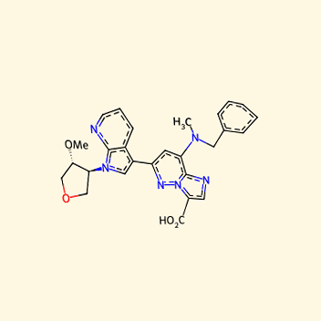 CO[C@H]1COC[C@@H]1n1cc(-c2cc(N(C)Cc3ccccc3)c3ncc(C(=O)O)n3n2)c2cccnc21